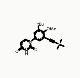 COc1c(C#C[Si](C)(C)C)cc(-n2ccc(=O)[nH]c2=O)cc1C(C)(C)C